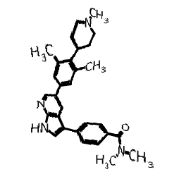 Cc1cc(-c2cnc3[nH]cc(-c4ccc(C(=O)N(C)C)cc4)c3c2)cc(C)c1C1CCN(C)CC1